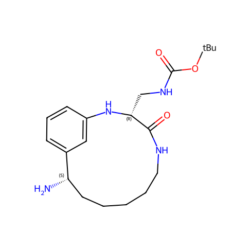 CC(C)(C)OC(=O)NC[C@H]1Nc2cccc(c2)[C@@H](N)CCCCCNC1=O